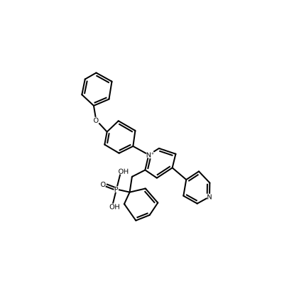 O=P(O)(O)C1(Cc2cc(-c3ccncc3)cc[n+]2-c2ccc(Oc3ccccc3)cc2)C=CC=CC1